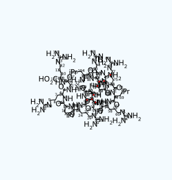 CC(C)C[C@H](NC(=O)[C@H](CCCN=C(N)N)NC(=O)[C@H](CC(C)C)NC(=O)[C@H](CCCN=C(N)N)NC(=O)[C@H](CC(C)C)NC(=O)[C@H](CCCN=C(N)N)NC(=O)[C@H](CC(C)C)NC(=O)[C@H](CCCN=C(N)N)NC(=O)[C@H](CC(C)C)NC(=O)[C@H](CCCN=C(N)N)NC(=O)[C@H](CC(C)C)NC(=O)[C@H](CCCN=C(N)N)NC(=O)[C@@H](N)CC(C)C)C(=O)N[C@@H](CCCN=C(N)N)C(=O)O